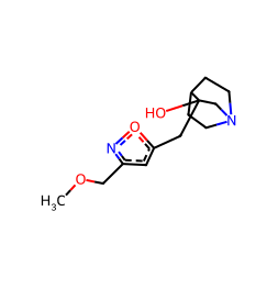 COCc1cc(CC2(O)CN3CCC2CC3)on1